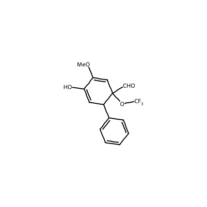 COC1=CC(C=O)(OC(F)(F)F)C(c2ccccc2)C=C1O